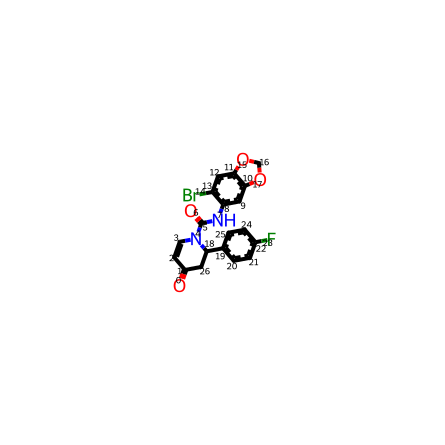 O=C1C=CN(C(=O)Nc2cc3c(cc2Br)OCO3)C(c2ccc(F)cc2)C1